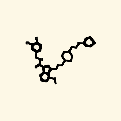 COc1cccc2c(C(=O)NCc3ccc(Cl)c(Cl)c3)cn(CCCN3CCN(CCOc4ccccc4)CC3)c12